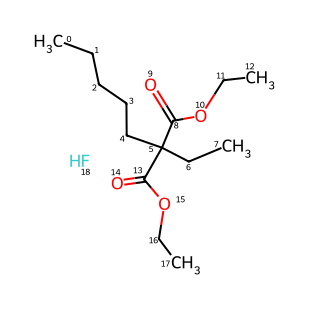 CCCCCC(CC)(C(=O)OCC)C(=O)OCC.F